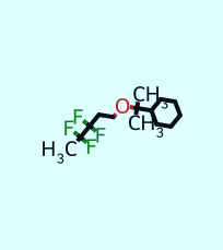 CC(C)(OCCC(F)(F)C(C)(F)F)C1CCCCC1